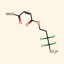 COC(=O)/C=C\C(=O)OCCC(F)(F)C(F)(F)S(=O)(=O)O